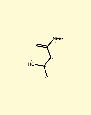 C=C(CC(C)O)NC